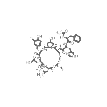 CC(=O)N[C@@H](Cc1ccccc1)C(=O)N[C@@H](Cc1c[nH]cn1)C(=O)N[C@H]1CSSC[C@@H](C)NC(=O)[C@H](CC(C)C)NC(=O)[C@H](CC(=O)O)NC(=O)[C@H](Cc2ccc(O)c(Cl)c2)NC(=O)C2CC(O)CN2C1=O